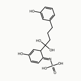 O=P(O)(O)N=C1C=CC(O)=CC1C(O)(O)CCCc1cccc(O)c1